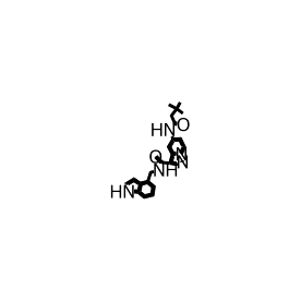 CC(C)(C)CC(=O)Nc1ccn2ncc(C(=O)NCc3cccc4[nH]ccc34)c2c1